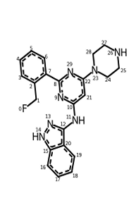 FCc1ccccc1-c1nc(Nc2n[nH]c3ccccc23)cc(N2CCNCC2)n1